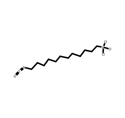 O=C=NCCCCCCCCCCCC[Si](Cl)(Cl)Cl